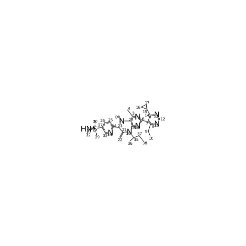 C=Nc1c(C)nc(-c2c(CC)ncnc2C2CC2)nc1N(C(=C)Cc1ccc(S(C)(C)NC)cn1)C(C)CC